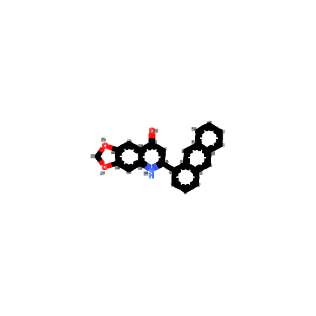 O=c1cc(-c2cccc3cc4ccccc4cc23)[nH]c2cc3c(cc12)OCO3